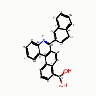 OB(O)c1cccc2c1ccc1c(-c3ccc4ccccc4c3)nc3ccccc3c12